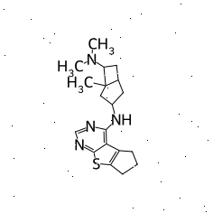 CN(C)C1CC2CC(Nc3ncnc4sc5c(c34)CCC5)CC21C